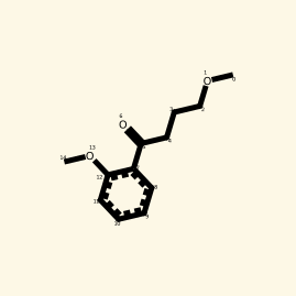 COCCCC(=O)c1ccccc1OC